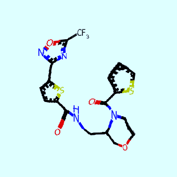 O=C(NCC1COCCN1C(=O)c1cccs1)c1ccc(-c2noc(C(F)(F)F)n2)s1